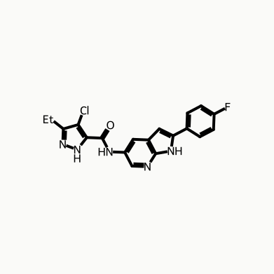 CCc1n[nH]c(C(=O)Nc2cnc3[nH]c(-c4ccc(F)cc4)cc3c2)c1Cl